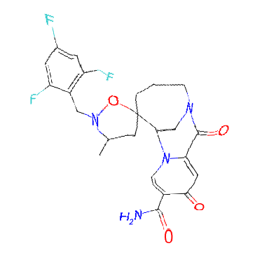 CC1CC2(CCCN3CC2n2cc(C(N)=O)c(=O)cc2C3=O)ON1Cc1c(F)cc(F)cc1F